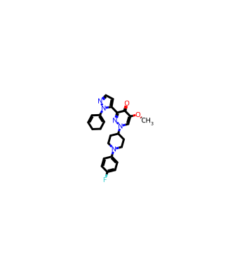 COc1cn(C2CCN(c3ccc(F)cc3)CC2)nc(-c2ccnn2C2=CCCC=C2)c1=O